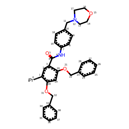 CC(C)c1cc(C(=O)Nc2ccc(CN3CCOCC3)cc2)c(OCc2ccccc2)cc1OCc1ccccc1